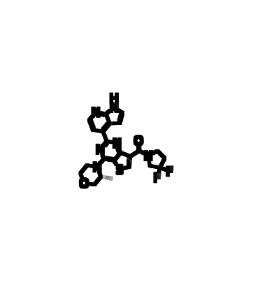 C[C@@H]1COCCN1c1nc(-c2ccnc3[nH]ccc23)nc2c(C(=O)N3CCC(F)(F)C3)csc12